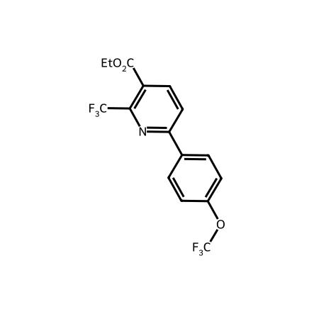 CCOC(=O)c1ccc(-c2ccc(OC(F)(F)F)cc2)nc1C(F)(F)F